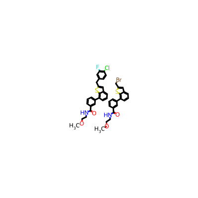 COCCNC(=O)c1cccc(-c2cccc3cc(CBr)sc23)c1.COCCNC(=O)c1cccc(-c2cccc3cc(Cc4ccc(Cl)c(F)c4)sc23)c1